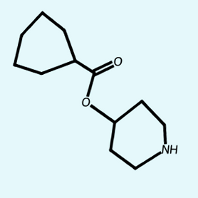 O=C(OC1CCNCC1)C1CCCCC1